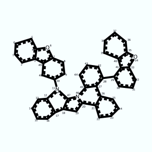 c1ccc2c(c1)oc1ccc(-n3c4ccccc4c4cc5c6ccccc6c6c(-c7cccc8oc9ccccc9c78)cccc6n5c43)cc12